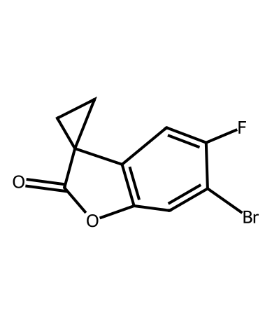 O=C1Oc2cc(Br)c(F)cc2C12CC2